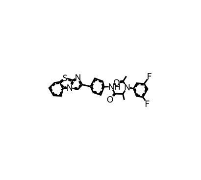 CC(=O)N(c1cc(F)cc(F)c1)C(C)C(=O)Nc1ccc(-c2cn3c(n2)sc2ccccc23)cc1